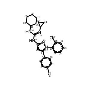 Clc1ccc(-c2cc(NC(=NC3CC3)NC3CCCCC3)nn2-c2ccccc2Cl)cc1